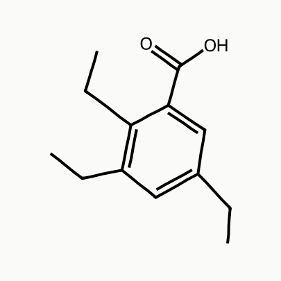 CCc1cc(CC)c(CC)c(C(=O)O)c1